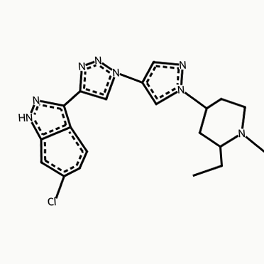 CCC1CC(n2cc(-n3cc(-c4n[nH]c5cc(Cl)ccc45)nn3)cn2)CCN1C